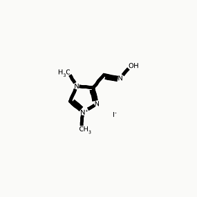 Cn1c[n+](C)nc1C=NO.[I-]